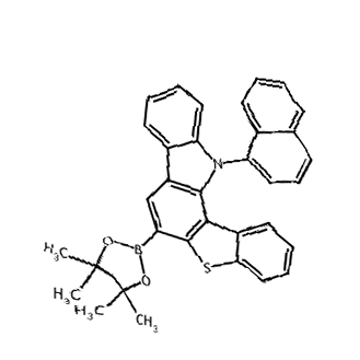 CC1(C)OB(c2cc3c4ccccc4n(-c4cccc5ccccc45)c3c3c2sc2ccccc23)OC1(C)C